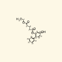 CCOC(=O)CCCC(=O)Oc1cc(O)ccc1-c1ccccc1